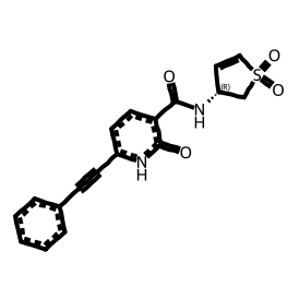 O=C(N[C@@H]1C=CS(=O)(=O)C1)c1ccc(C#Cc2ccccc2)[nH]c1=O